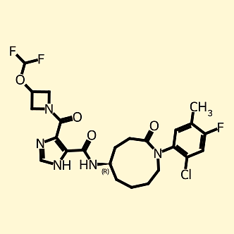 Cc1cc(N2CCCC[C@@H](NC(=O)c3[nH]cnc3C(=O)N3CC(OC(F)F)C3)CCC2=O)c(Cl)cc1F